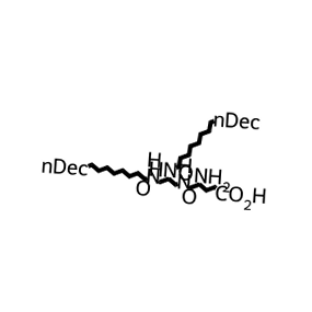 CCCCCCCCCCCCCCCCCC(=O)NCC(CNC(=O)C(N)CCC(=O)O)NC(=O)CCCCCCCCCCCCCCCCC